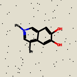 CC(C)c1c[n+](C(C)C)cc2cc(O)c(O)cc12